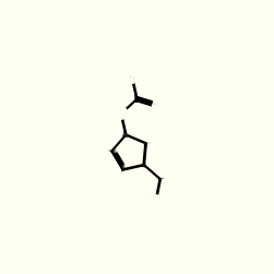 NC(=O)OC1C=CC(CO)C1